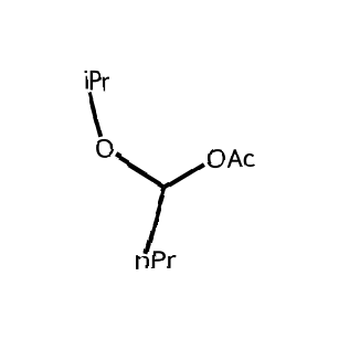 CCCC(OC(C)=O)OC(C)C